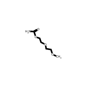 COCCOCCOC(N)=O